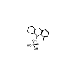 Cc1cccc(C)c1NC1=NCCCS1.O=P(O)(O)O